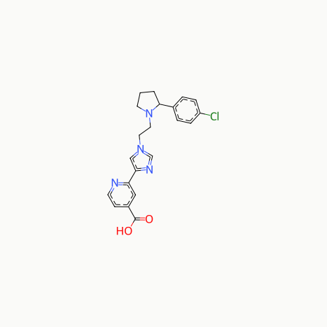 O=C(O)c1ccnc(-c2cn(CCN3CCCC3c3ccc(Cl)cc3)cn2)c1